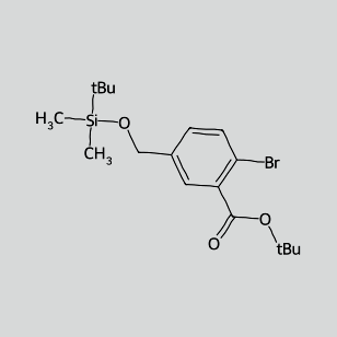 CC(C)(C)OC(=O)c1cc(CO[Si](C)(C)C(C)(C)C)ccc1Br